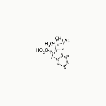 CC(=O)[C@@H]1C[C@H](N(Cc2ccccc2)C(=O)O)C1(C)C